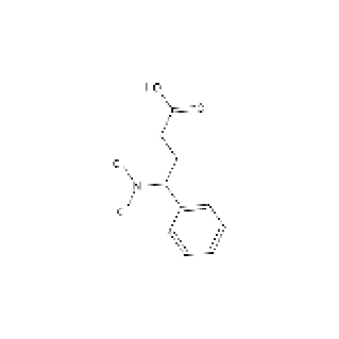 O=C(O)CCC(c1ccccc1)N(Cl)Cl